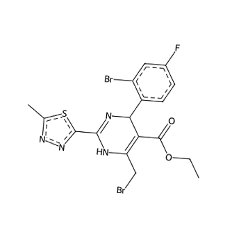 CCOC(=O)C1=C(CBr)NC(c2nnc(C)s2)=NC1c1ccc(F)cc1Br